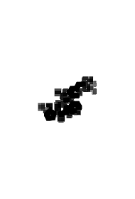 Cc1cc(CC(C)C)ncc1N1C(=O)Nc2c(C(=O)N[C@@H]3CCC[C@@H]3N)sc3nccc1c23